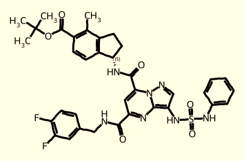 Cc1c(C(=O)OC(C)(C)C)ccc2c1CC[C@@H]2NC(=O)c1cc(C(=O)NCc2ccc(F)c(F)c2)nc2c(NS(=O)(=O)Nc3ccccc3)cnn12